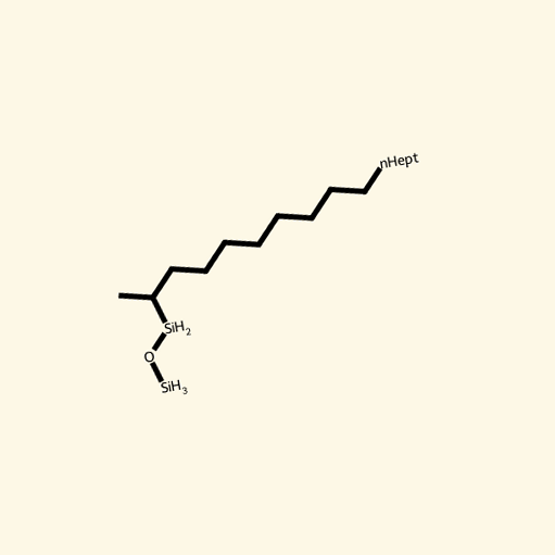 CCCCCCCCCCCCCCCC(C)[SiH2]O[SiH3]